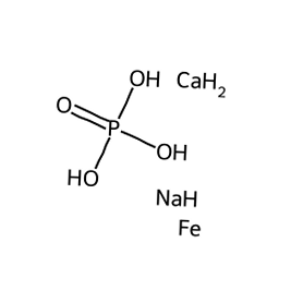 O=P(O)(O)O.[CaH2].[Fe].[NaH]